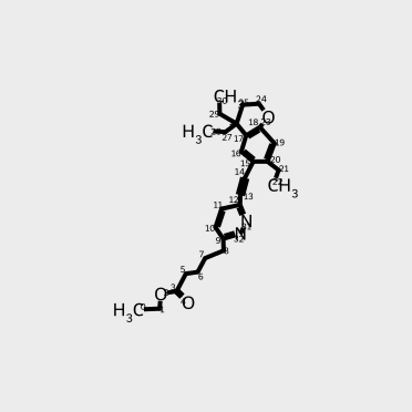 CCOC(=O)CCCCc1ccc(C#Cc2cc3c(cc2CC)OCCC3(CC)CC)nn1